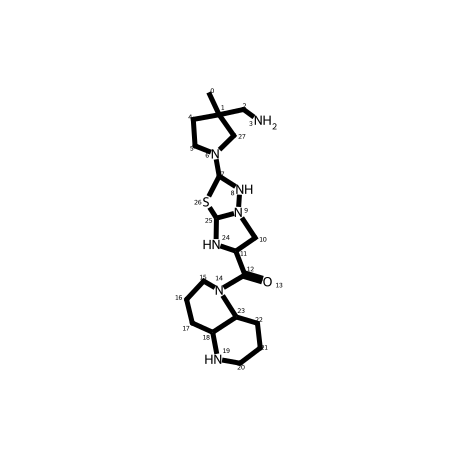 CC1(CN)CCN(C2NN3CC(C(=O)N4CCCC5NCCCC54)NC3S2)C1